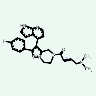 CN(C)C/C=C/C(=O)N1CCn2nc(-c3ccc(F)cc3)c(-c3ccnc4[nH]ccc34)c2C1